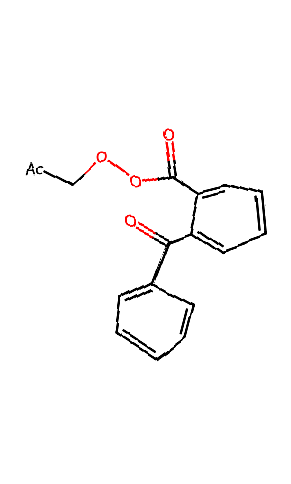 CC(=O)COOC(=O)c1ccccc1C(=O)c1ccccc1